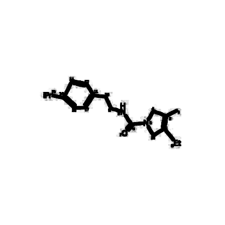 CCC1=C(C)CN(C(=O)NCCc2ccc(C(C)C)cc2)C1